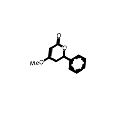 COC1=CC(=O)OC(c2ccccc2)C1